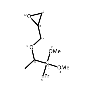 CCC[Si](OC)(OC)C(C)OCC1CO1